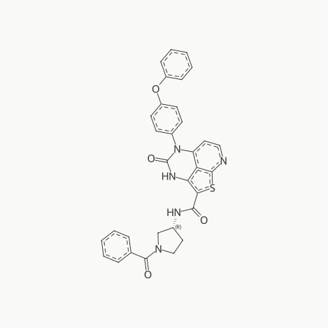 O=C(N[C@@H]1CCN(C(=O)c2ccccc2)C1)c1sc2nccc3c2c1NC(=O)N3c1ccc(Oc2ccccc2)cc1